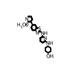 COc1ncccc1-c1ccc2nc(Nc3cccc(N[C@H]4CC[C@H](O)CC4)n3)sc2c1